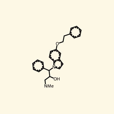 CNCC(O)C(c1ccccc1)n1ccc2cc(OCCc3ccccc3)ccc21